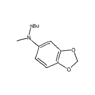 CCCCN(C)c1ccc2c(c1)OCO2